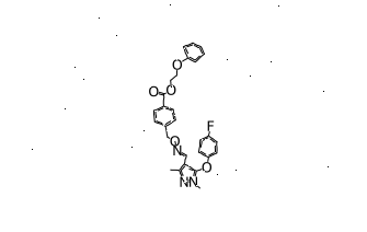 Cc1nn(C)c(Oc2ccc(F)cc2)c1C=NOCc1ccc(C(=O)OCCOc2ccccc2)cc1